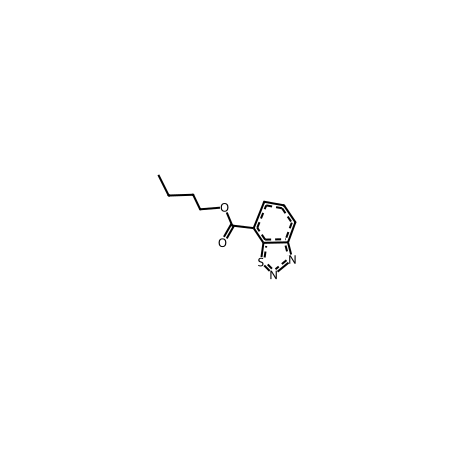 CCCCOC(=O)c1cccc2nnsc12